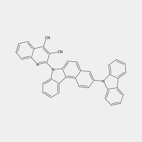 N#Cc1c(-n2c3ccccc3c3c4ccc(-n5c6ccccc6c6ccccc65)cc4ccc32)nc2ccccc2c1C#N